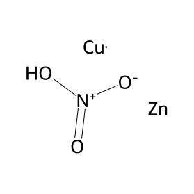 O=[N+]([O-])O.[Cu].[Zn]